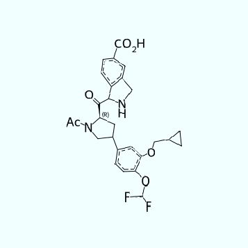 CC(=O)N1CC(c2ccc(OC(F)F)c(OCC3CC3)c2)C[C@@H]1C(=O)C1NCc2cc(C(=O)O)ccc21